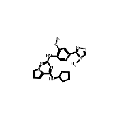 CCOc1cc(-c2nncn2C)ccc1Nc1nc(NC2CCCC2)c2cccn2n1